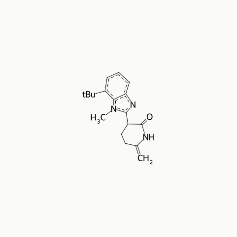 C=C1CCC(c2nc3cccc(C(C)(C)C)c3n2C)C(=O)N1